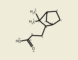 CC1(C)C2CCC(C2)C1CCC(=O)O